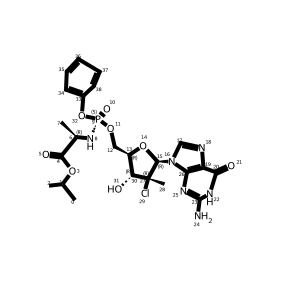 CC(C)OC(=O)[C@@H](C)N[P@](=O)(OC[C@H]1O[C@@H](n2cnc3c(=O)[nH]c(N)nc32)[C@](C)(Cl)[C@@H]1O)Oc1ccccc1